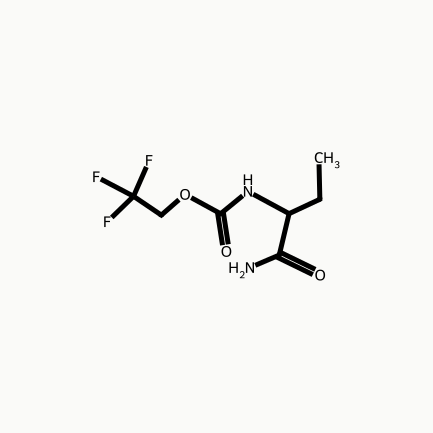 CCC(NC(=O)OCC(F)(F)F)C(N)=O